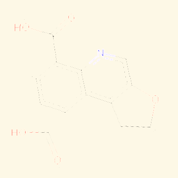 O=C(O)c1cccc2c3c(cnc12)OCC3.O=CO